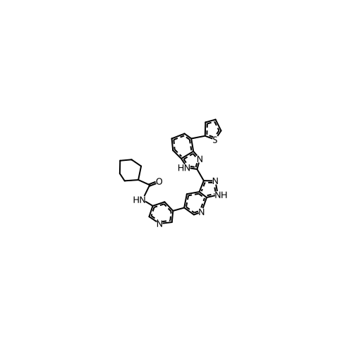 O=C(Nc1cncc(-c2cnc3[nH]nc(-c4nc5c(-c6cccs6)cccc5[nH]4)c3c2)c1)C1CCCCC1